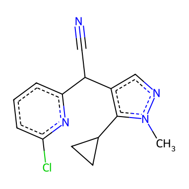 Cn1ncc(C(C#N)c2cccc(Cl)n2)c1C1CC1